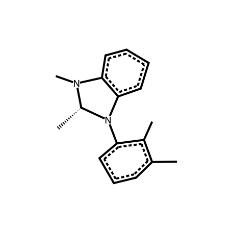 Cc1cccc(N2c3ccccc3N(C)[C@H]2C)c1C